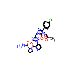 NC(=O)[C@@H]1CCCN1C(=O)c1ncccc1-n1cnc(Cn2nc(-c3ccc(Cl)cc3)n(C[C@H](O)C(F)(F)F)c2=O)n1